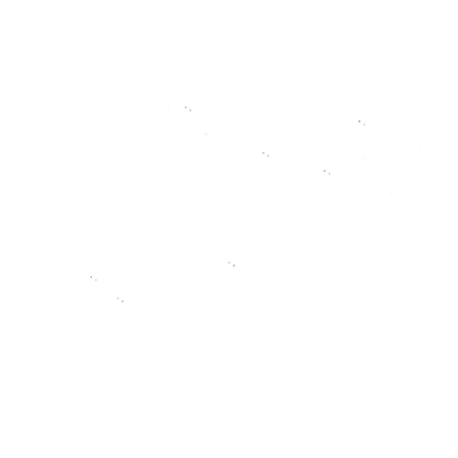 CC1(C)N=CC(=NOC(N)=O)N1CSSNCC(=O)ON=[N+]1C=CSC1